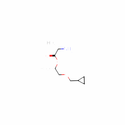 C[C@H](N)C(=O)O[C@@H](C)COCC1CC1